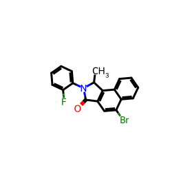 CC1c2c(cc(Br)c3ccccc23)C(=O)N1c1ccccc1F